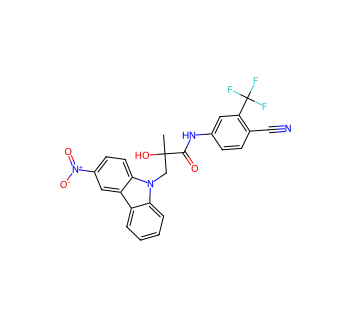 CC(O)(Cn1c2ccccc2c2cc([N+](=O)[O-])ccc21)C(=O)Nc1ccc(C#N)c(C(F)(F)F)c1